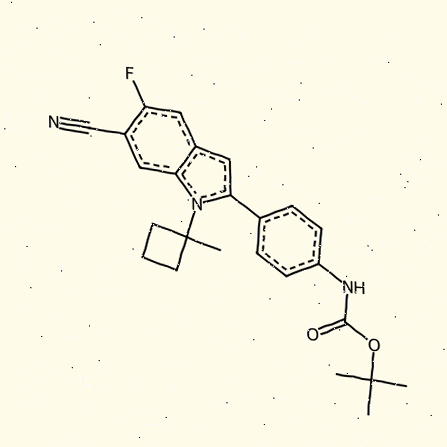 CC(C)(C)OC(=O)Nc1ccc(-c2cc3cc(F)c(C#N)cc3n2C2(C)CCC2)cc1